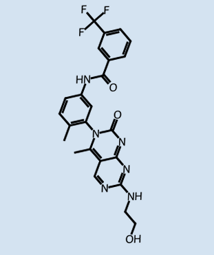 Cc1ccc(NC(=O)c2cccc(C(F)(F)F)c2)cc1-n1c(C)c2cnc(NCCO)nc2nc1=O